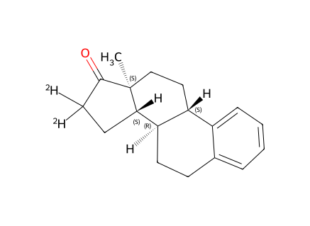 [2H]C1([2H])C[C@H]2[C@@H]3CCc4ccccc4[C@H]3CC[C@]2(C)C1=O